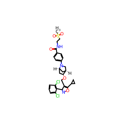 CS(=O)(=O)CCNC(=O)c1ccc(N2C[C@@H]3C[C@H]2C[C@H]3OCc2c(-c3c(Cl)cccc3Cl)noc2C2CC2)cc1